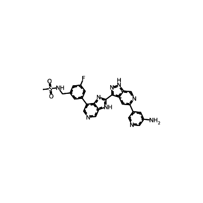 CS(=O)(=O)NCc1cc(F)cc(-c2cncc3[nH]c(-c4n[nH]c5cnc(-c6cncc(N)c6)cc45)nc23)c1